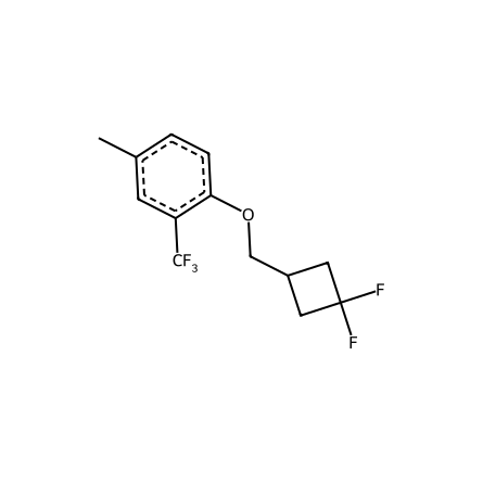 Cc1ccc(OCC2CC(F)(F)C2)c(C(F)(F)F)c1